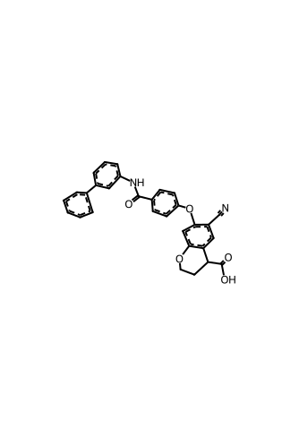 N#Cc1cc2c(cc1Oc1ccc(C(=O)Nc3cccc(-c4ccccc4)c3)cc1)OCCC2C(=O)O